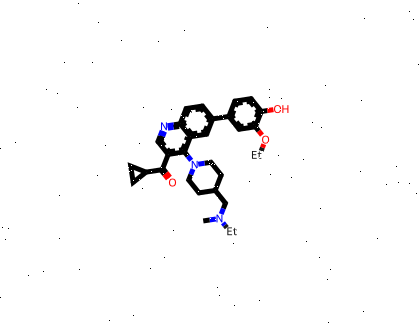 CCOc1cc(-c2ccc3ncc(C(=O)C4CC4)c(N4CCC(CN(C)CC)CC4)c3c2)ccc1O